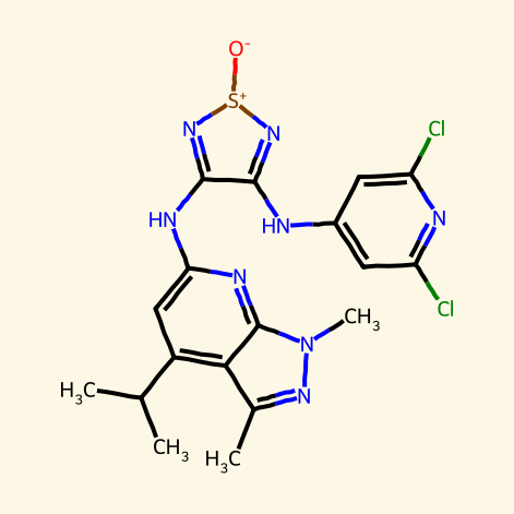 Cc1nn(C)c2nc(Nc3n[s+]([O-])nc3Nc3cc(Cl)nc(Cl)c3)cc(C(C)C)c12